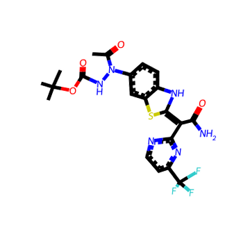 CC(=O)N(NC(=O)OC(C)(C)C)c1ccc2c(c1)SC(=C(C(N)=O)c1nccc(C(F)(F)F)n1)N2